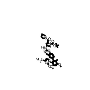 COc1cc(OC)c(-n2ccc(N)nc2=O)c(-c2ccc3nc(NC4CC(C(=O)N5CCCC5)N(C(=O)OC(C)(C)C)C4)ncc3c2)c1C